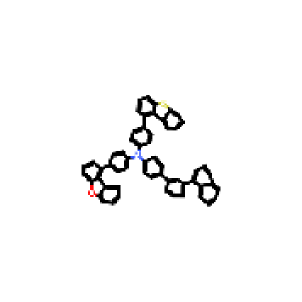 c1cc(-c2ccc(N(c3ccc(-c4cccc5oc6ccccc6c45)cc3)c3ccc(-c4cccc5sc6ccccc6c45)cc3)cc2)cc(-c2cccc3ccccc23)c1